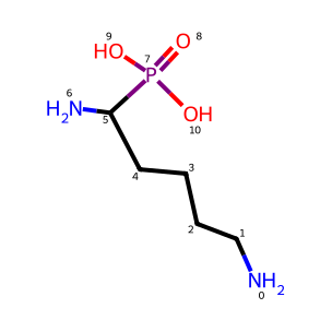 NCCCCC(N)P(=O)(O)O